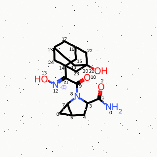 NC(=O)C1CC2CC2N1C(=O)/C(=N/O)C12CC3CC(CC(O)(C3)C1)C2